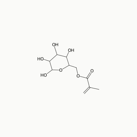 C=C(C)C(=O)OCC1OC(O)C(O)C(O)C1O